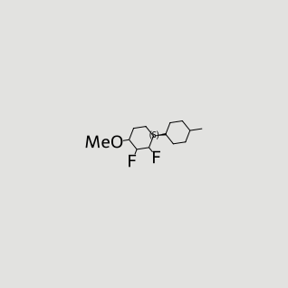 COC1CC[C@@H](C2CCC(C)CC2)C(F)C1F